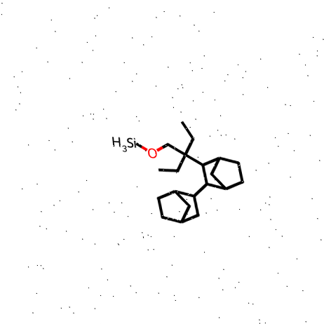 CCC(CC)(CO[SiH3])C1C2CCC(C2)C1C1CC2CCC1C2